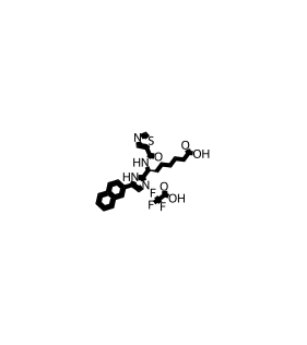 O=C(O)C(F)(F)F.O=C(O)CCCCC[C@H](NC(=O)c1cncs1)c1ncc(-c2ccc3ccccc3c2)[nH]1